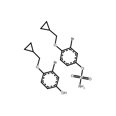 NS(=O)(=O)Oc1ccc(OCC2CC2)c(Br)c1.Oc1ccc(OCC2CC2)c(Br)c1